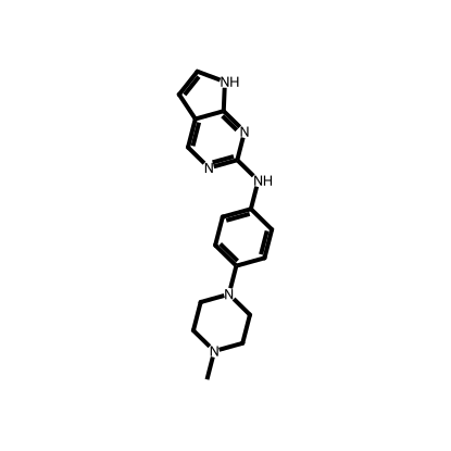 CN1CCN(c2ccc(Nc3ncc4cc[nH]c4n3)cc2)CC1